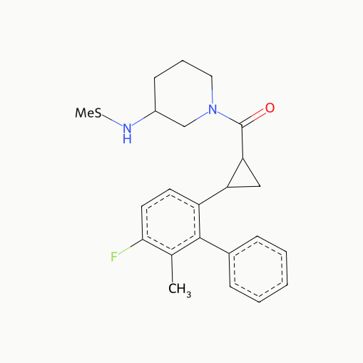 CSNC1CCCN(C(=O)C2CC2c2ccc(F)c(C)c2-c2ccccc2)C1